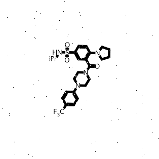 CC(C)NS(=O)(=O)c1ccc(N2CCCC2)c(C(=O)N2CCN(c3ccc(C(F)(F)F)cc3)CC2)c1